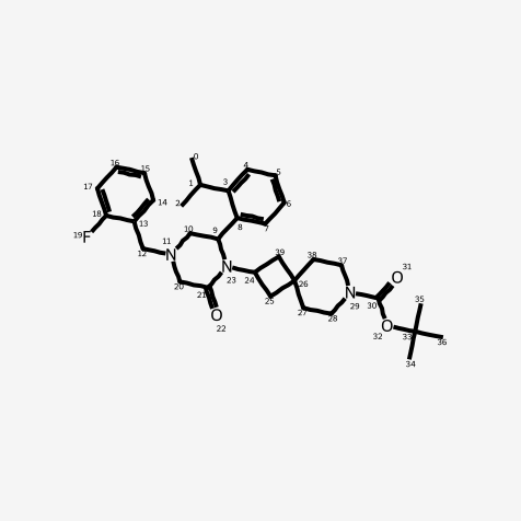 CC(C)c1ccccc1C1CN(Cc2ccccc2F)CC(=O)N1C1CC2(CCN(C(=O)OC(C)(C)C)CC2)C1